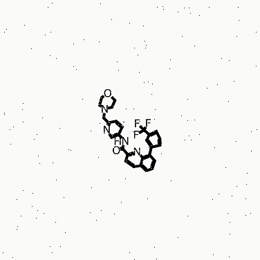 O=C(Nc1ccc(CN2CCOCC2)nc1)c1ccc2cccc(-c3cccc(C(F)(F)F)c3)c2n1